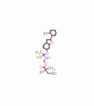 CCc1ccccc1-c1cc2ccc(OC(C)(S)NCOC(=O)C(C)(CC(C)(C)C)C(C)C)cc2o1